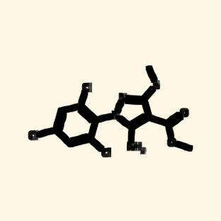 COC(=O)c1c(SC)nn(-c2c(Cl)cc(Cl)cc2Cl)c1N